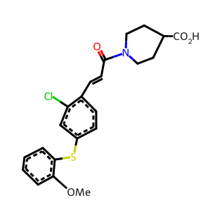 COc1ccccc1Sc1ccc(C=CC(=O)N2CCC(C(=O)O)CC2)c(Cl)c1